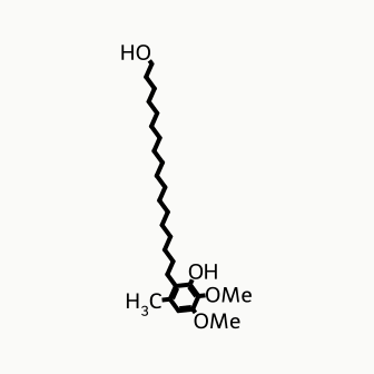 COc1cc(C)c(CCCCCCCCCCCCCCCCCCO)c(O)c1OC